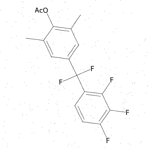 CC(=O)Oc1c(C)cc(C(F)(F)c2ccc(F)c(F)c2F)cc1C